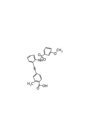 COc1cccc(S(=O)(=O)Nc2ccccc2C#Cc2ccc(C(=O)O)c(C)c2)c1